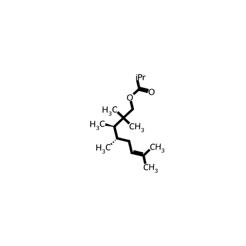 CC(C)=CC[C@H](C)[C@@H](C)C(C)(C)COC(=O)C(C)C